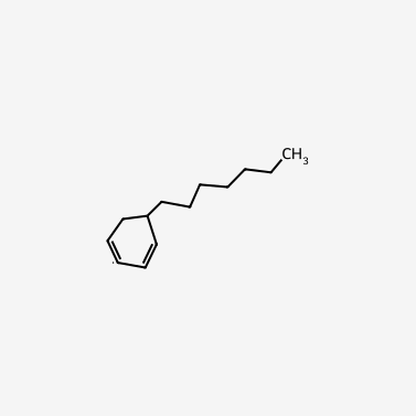 CCCCCCCC1C=C[C]=CC1